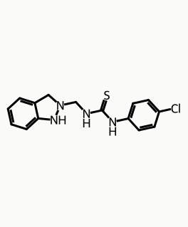 S=C(NCN1Cc2ccccc2N1)Nc1ccc(Cl)cc1